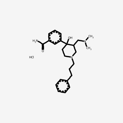 CN(C)CC1CN(CCCc2ccccc2)CCC1(O)c1cccc(C(N)=O)c1.Cl